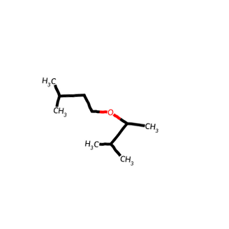 CC(C)CCOC(C)C(C)C